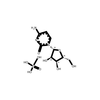 Nc1ccn([C@@H]2O[C@H](CO)[C@@H](O)[C@H]2O)c(=O)n1.O=P(O)(O)O